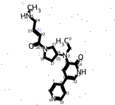 CCN(c1cc(-c2ccncc2)c[nH]c1=O)[C@H]1CCN(C(=O)/C=C/CNC)C1